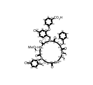 COC[C@@H]1NC(=O)[C@H](C)N(Cc2ccc(Cl)cc2Oc2cccc(C(=O)O)c2)C(=O)C[C@@H](Cc2ccccc2)C(=O)N(C)[C@@H](C)CNC(=O)C[C@H](Cc2ccc(Cl)cc2)N(C)C1=O